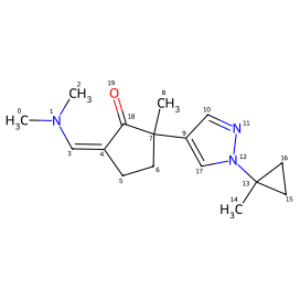 CN(C)C=C1CCC(C)(c2cnn(C3(C)CC3)c2)C1=O